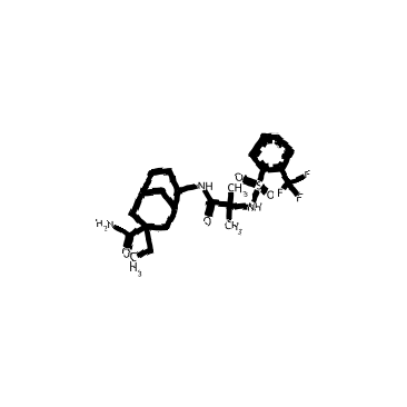 CCC1(C(N)=O)CC2CCC(NC(=O)C(C)(C)NS(=O)(=O)c3ccccc3C(F)(F)F)C(C2)C1